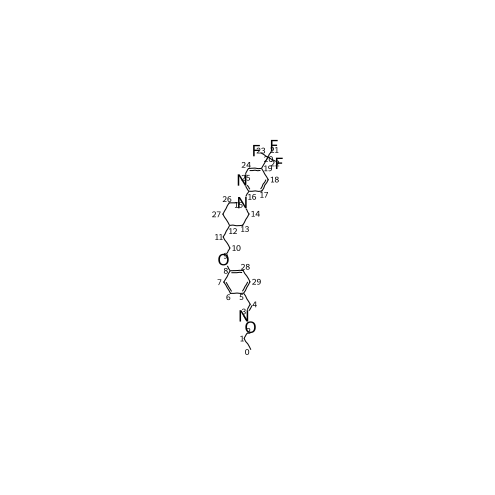 CCON=Cc1ccc(OCCC2CCN(c3ccc(C(F)(F)F)cn3)CC2)cc1